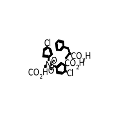 O=C(O)CC(Cc1ccccc1)C(=O)O.O=C(O)CN(c1ccc(Cl)cc1)S(=O)(=O)c1ccc(Cl)cc1